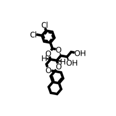 OC[C@@H](O)[C@H]1OC(c2ccc(Cl)c(Cl)c2)O[C@H]2COC3(C=C4CCCCC4=CC3)O[C@@H]12